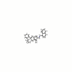 CC(C)(O)c1ccccc1-c1ccc2[nH]c(/C=C/c3cccc4cccnc34)nc2c1